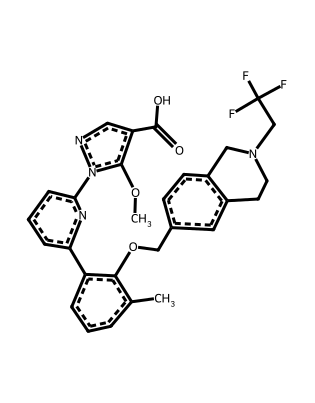 COc1c(C(=O)O)cnn1-c1cccc(-c2cccc(C)c2OCc2ccc3c(c2)CCN(CC(F)(F)F)C3)n1